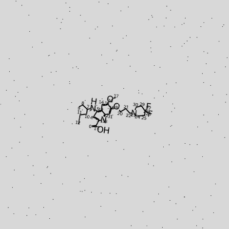 C=C(O)c1cc(NC(CC)CCI)c2cc(OC)c(OCCCN3CCC(F)(F)CC3)cc2n1